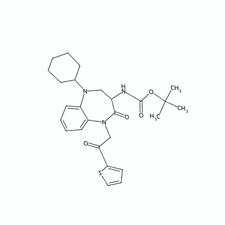 CC(C)(C)OC(=O)NC1CN(C2CCCCC2)c2ccccc2N(CC(=O)c2cccs2)C1=O